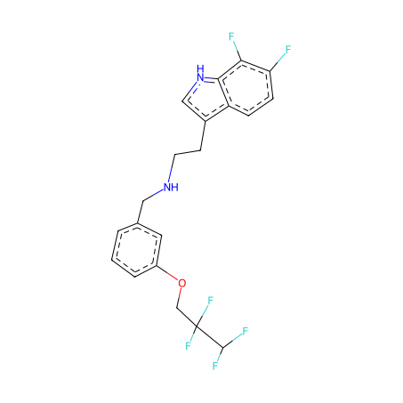 Fc1ccc2c(CCNCc3cccc(OCC(F)(F)C(F)F)c3)c[nH]c2c1F